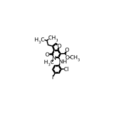 COC(=O)c1c(Nc2ccc(I)cc2Cl)n(C)c(=O)c2c(CC(C)C)coc12